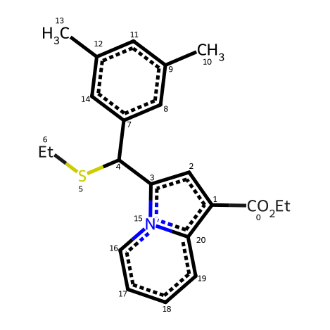 CCOC(=O)c1cc(C(SCC)c2cc(C)cc(C)c2)n2ccccc12